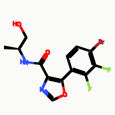 C[C@@H](CO)NC(=O)c1ncoc1-c1ccc(Br)c(F)c1F